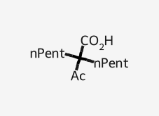 CCCCCC(CCCCC)(C(C)=O)C(=O)O